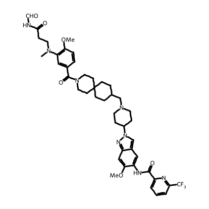 COc1cc2nn(C3CCN(CC4CCC5(CC4)CCN(C(=O)c4ccc(OC)c(N(C)CCC(=O)NC=O)c4)CC5)CC3)cc2cc1NC(=O)c1cccc(C(F)(F)F)n1